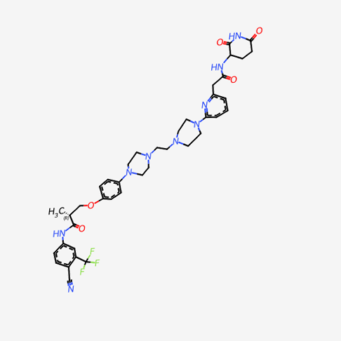 C[C@H](COc1ccc(N2CCN(CCN3CCN(c4cccc(CC(=O)NC5CCC(=O)NC5=O)n4)CC3)CC2)cc1)C(=O)Nc1ccc(C#N)c(C(F)(F)F)c1